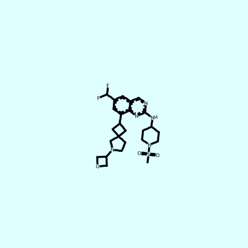 CS(=O)(=O)N1CCC(Nc2ncc3cc(C(F)F)cc(C4CC5(CCN(C6COC6)C5)C4)c3n2)CC1